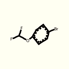 FC(F)Oc1[c]cc(Br)cc1